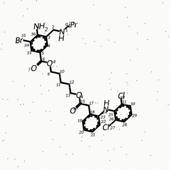 CC(C)NCc1cc(C(=O)OCCCCCOC(=O)Cc2ccccc2Nc2c(Cl)cccc2Cl)cc(Br)c1N